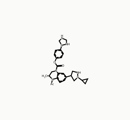 CC(=O)N1c2ccc(C3CNN(C4CC4)C3)cc2N(C(=O)Oc2ccc(N3CNCN3)cc2)C[C@@H]1C